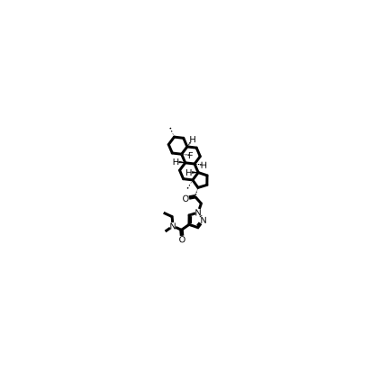 CCN(C)C(=O)c1cnn(CC(=O)[C@H]2CC[C@H]3[C@@H]4CC[C@@H]5C[C@@H](C)CC[C@]5(F)[C@H]4CC[C@]23C)c1